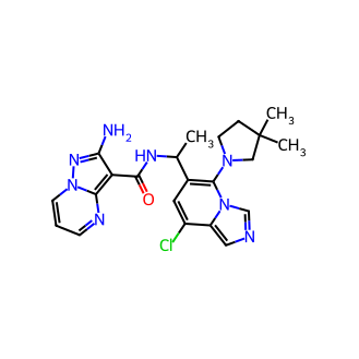 CC(NC(=O)c1c(N)nn2cccnc12)c1cc(Cl)c2cncn2c1N1CCC(C)(C)C1